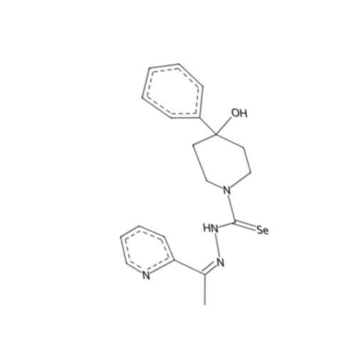 CC(=NNC(=[Se])N1CCC(O)(c2ccccc2)CC1)c1ccccn1